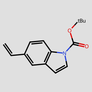 C=Cc1ccc2c(ccn2C(=O)OC(C)(C)C)c1